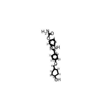 NC(=O)Oc1ccc2[nH]c(-c3ccc(OCC4CCC(O)CC4)cc3)nc2c1